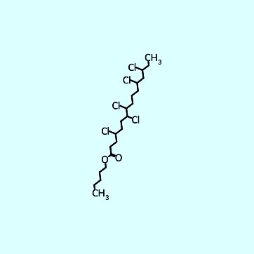 CCCCCOC(=O)CCC(Cl)CCC(Cl)C(Cl)CCCC(Cl)CC(Cl)CC